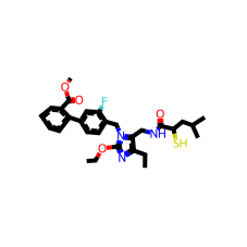 CCOc1nc(CC)c(CNC(=O)C(S)CC(C)C)n1Cc1ccc(-c2ccccc2C(=O)OC)cc1F